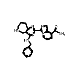 NC(=O)c1cccn2c(-c3nc4c(c(NCc5ccccc5)n3)CNCCC4)ncc12